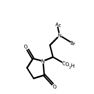 CC(=O)N(Br)CC(C(=O)O)N1C(=O)CCC1=O